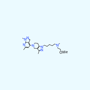 COCCN(C)CCCCCn1nc(C)c2c1CCN(c1cc(C)nc3c1cnn3C)C2